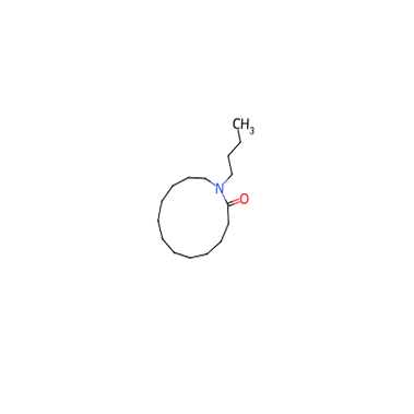 CCCCN1CCCCCCCCCCCC1=O